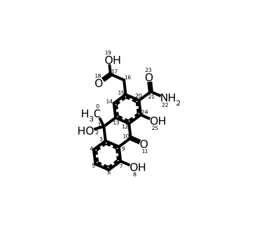 CC1(O)c2cccc(O)c2C(=O)c2c1cc(CC(=O)O)c(C(N)=O)c2O